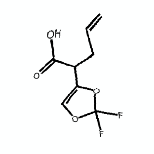 C=CCC(C(=O)O)C1=COC(F)(F)O1